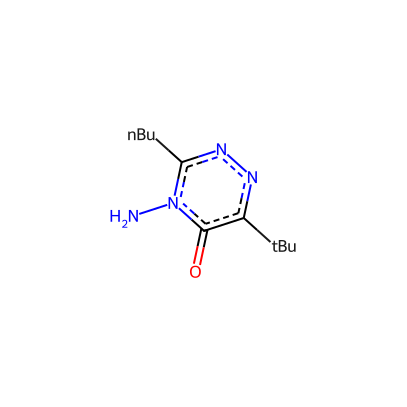 CCCCc1nnc(C(C)(C)C)c(=O)n1N